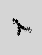 CC(C)N1CCC(N(Cc2ccc(Nc3ccnc(N4CCCC4)c3)cc2)c2nccc(-c3ccc(C(F)(F)F)cc3)n2)CC1